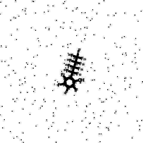 Oc1c(F)c(F)c(F)c(F)c1C(F)(F)C(F)(F)C(F)(F)C(F)(F)F